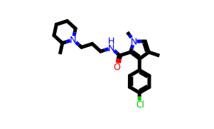 Cc1cn(C)c(C(=O)NCCCN2CCCCC2C)c1-c1ccc(Cl)cc1